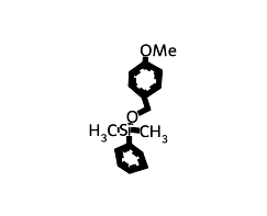 COc1ccc(CO[Si](C)(C)c2ccccc2)cc1